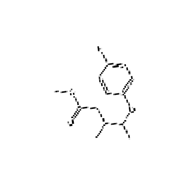 COC(=O)CC(C)C(C)Oc1ccc(F)cc1